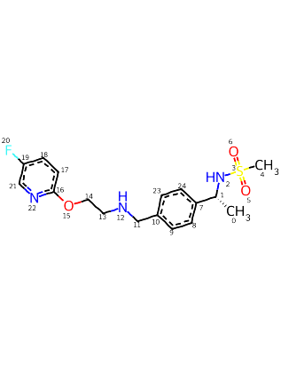 C[C@@H](NS(C)(=O)=O)c1ccc(CNCCOc2ccc(F)cn2)cc1